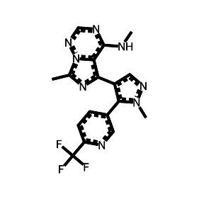 CNc1ncnn2c(C)nc(-c3cnn(C)c3-c3ccc(C(F)(F)F)nc3)c12